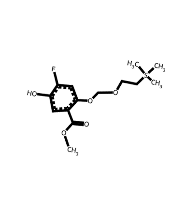 COC(=O)c1cc(O)c(F)cc1OCOCCS(C)(C)C